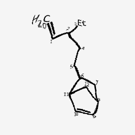 C=CC(CC)CCC1CC2C=CC1C2